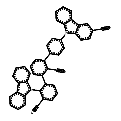 N#Cc1ccc2c(c1)c1ccccc1n2-c1ccc(-c2cccc(-c3cccc(C#N)c3-n3c4ccccc4c4ccccc43)c2C#N)cc1